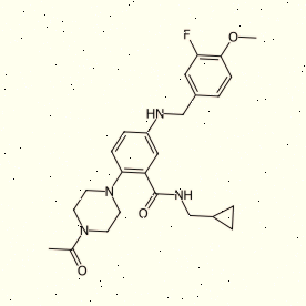 COc1ccc(CNc2ccc(N3CCN(C(C)=O)CC3)c(C(=O)NCC3CC3)c2)cc1F